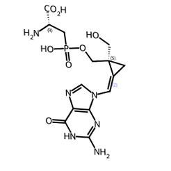 Nc1nc2c(ncn2/C=C2/C[C@]2(CO)COP(=O)(O)C[C@H](N)C(=O)O)c(=O)[nH]1